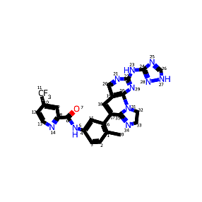 Cc1ccc(NC(=O)c2cc(C(F)(F)F)ccn2)cc1C1=Cc2cnc(Nc3nc[nH]n3)nc2N2CCN=C12